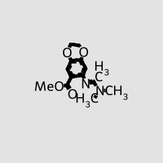 COC(=O)c1cc2c(cc1/N=C(\C)N(C)C)OCCO2